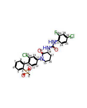 CS(=O)(=O)c1ccccc1-c1ccc(N2CCC[C@@H](NC(=O)Nc3ccc(Cl)cc3F)C2=O)cc1Cl